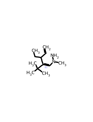 C=CC(CC)/C(=C\N(C)N)C(C)(C)C